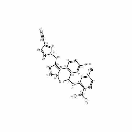 CC(Oc1cc(Br)cnc1[N+](=O)[O-])c1cc(F)ccc1-c1c(Cn2cc(C#N)cn2)cnn1C